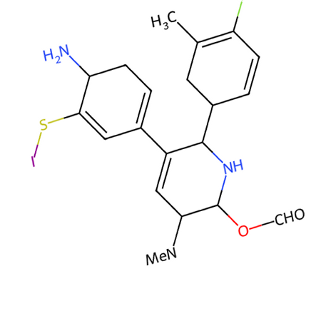 CNC1C=C(C2=CCC(N)C(SI)=C2)C(C2C=CC(F)=C(C)C2)NC1OC=O